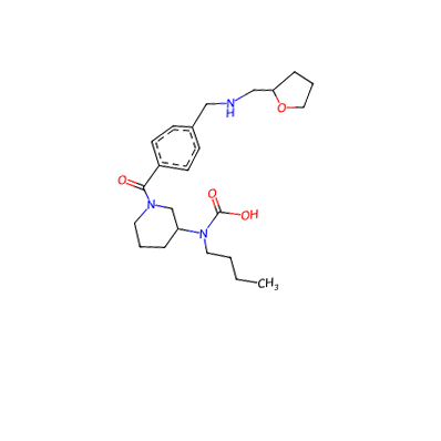 CCCCN(C(=O)O)C1CCCN(C(=O)c2ccc(CNCC3CCCO3)cc2)C1